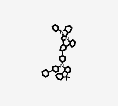 CC1(C)c2ccccc2-c2c(N(c3ccc(-c4ccccc4)cc3)c3ccc(-c4ccc5c(c4)c4ccccc4n4c5cc5c4c4ccccc4n5-c4ccccc4)cc3)cccc21